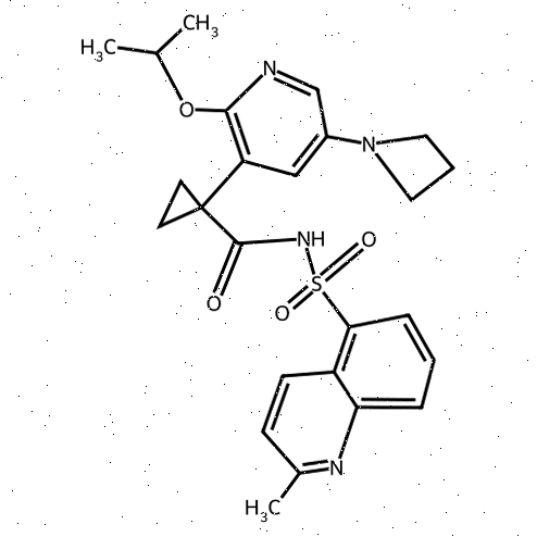 Cc1ccc2c(S(=O)(=O)NC(=O)C3(c4cc(N5CCC5)cnc4OC(C)C)CC3)cccc2n1